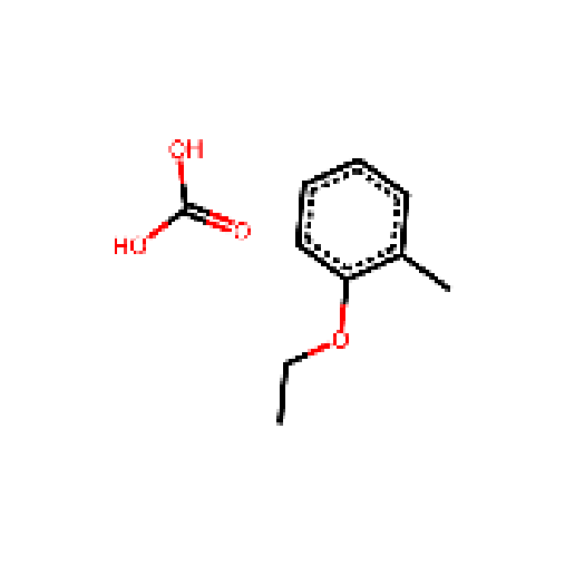 CCOc1ccccc1C.O=C(O)O